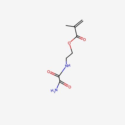 C=C(C)C(=O)OCCNC(=O)C(N)=O